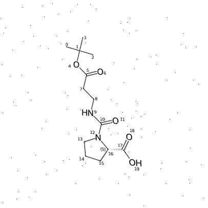 CC(C)(C)OC(=O)CCNC(=O)N1CCC[C@H]1C(=O)O